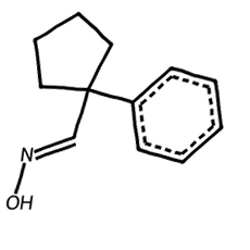 ON=CC1(c2ccccc2)CCCC1